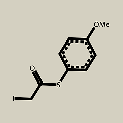 COc1ccc(SC(=O)CI)cc1